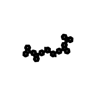 c1ccc2c(c1)c1ccccc1n2-c1ccc2c(c1)c1ccccc1n2-c1ccc(-c2cc(-c3ccnc(-c4ccc(-n5c6ccccc6c6cc(-n7c8ccccc8c8ccccc87)ccc65)cc4)c3)ccn2)cc1